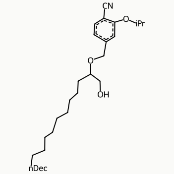 CCCCCCCCCCCCCCCCCCCC(CO)OCc1ccc(C#N)c(OC(C)C)c1